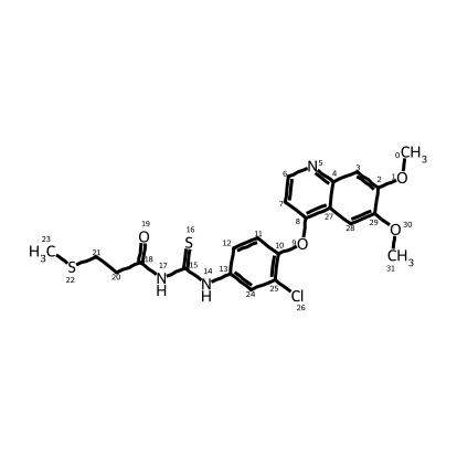 COc1cc2nccc(Oc3ccc(NC(=S)NC(=O)CCSC)cc3Cl)c2cc1OC